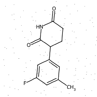 Cc1cc(F)cc(C2CCC(=O)NC2=O)c1